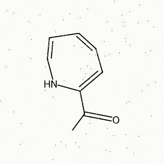 CC(=O)C1=CC=CC=CN1